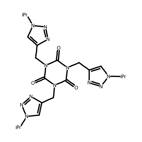 CC(C)n1cc(Cn2c(=O)n(Cc3cn(C(C)C)nn3)c(=O)n(Cc3cn(C(C)C)nn3)c2=O)nn1